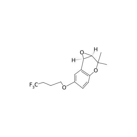 CC1(C)Oc2ccc(OCCCC(F)(F)F)cc2[C@H]2O[C@H]21